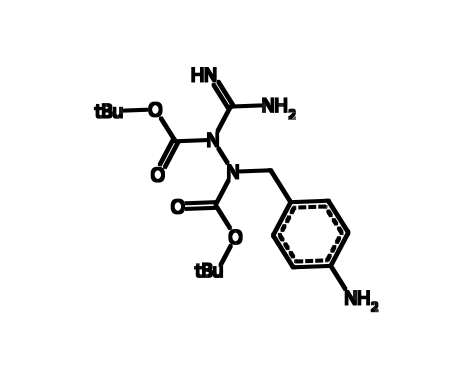 CC(C)(C)OC(=O)N(Cc1ccc(N)cc1)N(C(=N)N)C(=O)OC(C)(C)C